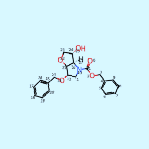 O=C(OCc1ccccc1)N1C[C@@H](OCc2ccccc2)C2OC[C@H](O)[C@H]21